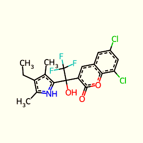 CCc1c(C)[nH]c(C(O)(c2cc3cc(Cl)cc(Cl)c3oc2=O)C(F)(F)F)c1C